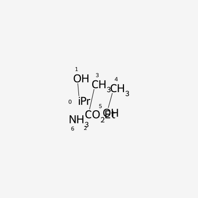 CC(C)O.CCOC(C)=O.CO.N